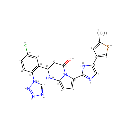 O=C(O)c1cc(-c2cnc(-c3ccc4n3C(=O)CC(c3cc(Cl)ccc3-n3cnnn3)N4)[nH]2)cs1